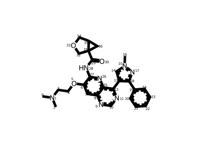 CN(C)CCOc1cc2ncnc(-c3cn(C)nc3-c3ccccc3)c2nc1NC(=O)C12COCC1C2